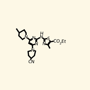 CCOC(=O)c1sc(Nc2nc(N3CCC(C)CC3)cc(N3CCC(C#N)CC3)n2)nc1C